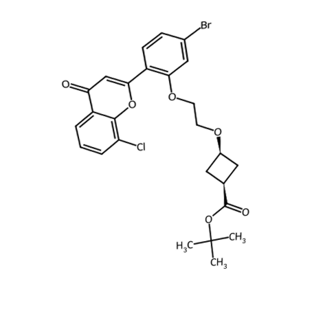 CC(C)(C)OC(=O)[C@H]1C[C@@H](OCCOc2cc(Br)ccc2-c2cc(=O)c3cccc(Cl)c3o2)C1